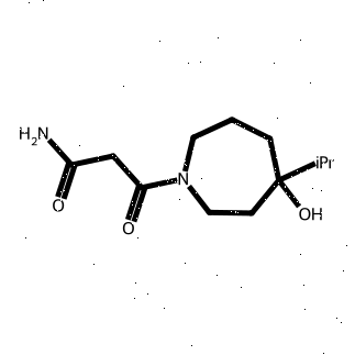 CC(C)C1(O)CCCN(C(=O)CC(N)=O)CC1